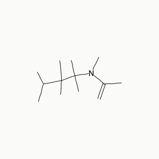 C=C(C)N(C)C(C)(C)C(C)(C)C(C)C